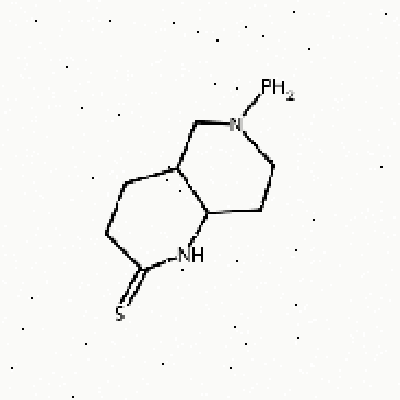 PN1CCC2NC(=S)CCC2C1